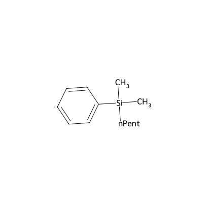 CCCCC[Si](C)(C)c1cc[c]cc1